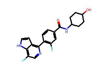 O=C(NC1CCC(O)CC1)c1ccc(-c2ncc(F)c3[nH]ccc23)c(F)c1